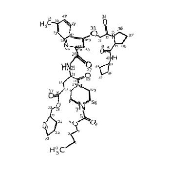 CCCCOC(=O)N1CCN(C(=O)C(CCC(=O)OCC2CCCO2)NC(=O)c2cc(OCC(=O)N3CCCC3C(=O)NC3CCC3)c3ccc(C)cc3n2)CC1